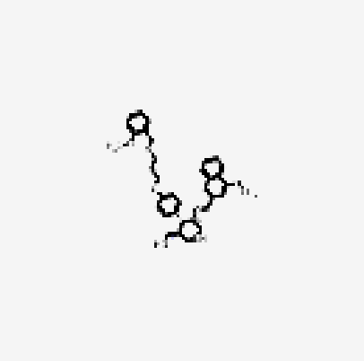 COc1ccccc1COCCCOc1ccc([C@H]2/C(=C/O)CNC[C@@H]2OCc2cc(OC)c3ccccc3c2)cc1